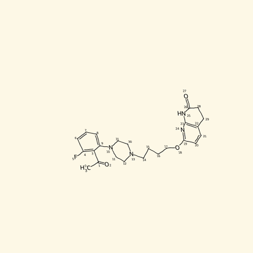 CC(=O)c1c(F)cccc1N1CCN(CCCCOc2ccc3c(n2)NC(=O)CC3)CC1